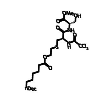 CCCCCCCCCCCCCCCC(=O)OCCSC[C@H](NC(=O)C(Cl)(Cl)Cl)C(=O)N[C@@H](CO)C(=O)OC